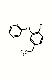 Fc1ccc(CC(F)(F)F)cc1Oc1ccccc1